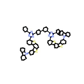 c1ccc(-c2nc(-c3cccc(-c4ccc(-c5nc(-c6ccccc6)nc(-c6cccc7c6sc6ccc8sc9ccc(-n%10c%11ccccc%11c%11ccccc%11%10)cc9c8c67)n5)cc4)c3)nc(-c3cccc4c3sc3c4ccc4sc5ccc(-n6c7ccccc7c7ccccc76)cc5c43)n2)cc1